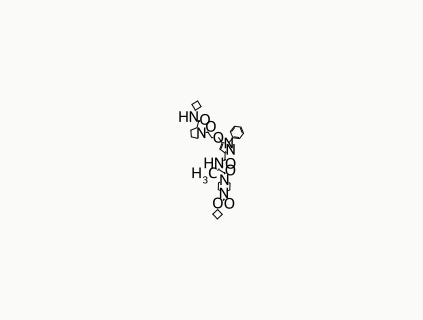 CC(NC(=O)c1cc(OCC(=O)N2CCCC2C(=O)NC2CCC2)n(-c2ccccc2)n1)C(=O)N1CCN(C(=O)OC2CCC2)CC1